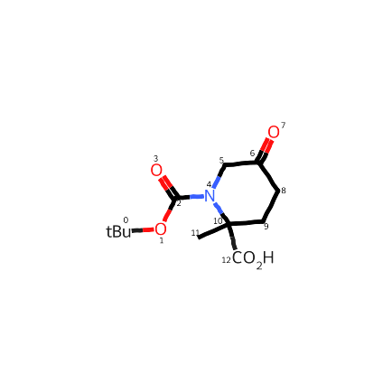 CC(C)(C)OC(=O)N1CC(=O)CCC1(C)C(=O)O